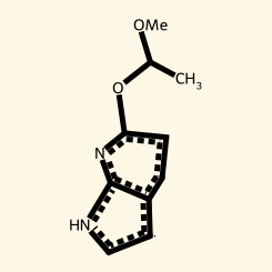 COC(C)Oc1ccc2[c]c[nH]c2n1